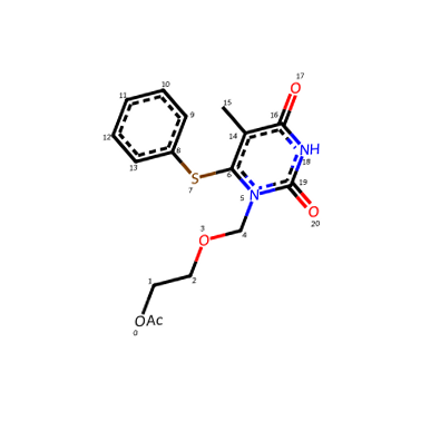 CC(=O)OCCOCn1c(Sc2ccccc2)c(C)c(=O)[nH]c1=O